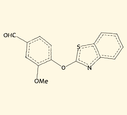 COc1cc(C=O)ccc1Oc1nc2ccccc2s1